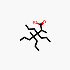 CCCC(C)(CCC)C(CCC)(CCC)C(C)C(=O)O